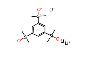 C[Si](C)([O-])c1cc([Si](C)(C)[O-])cc([Si](C)(C)[O-])c1.[Li+].[Li+].[Li+]